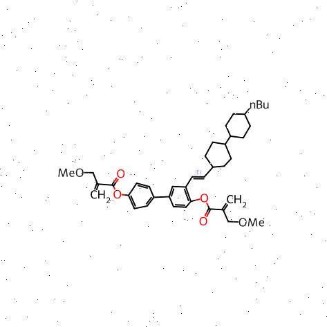 C=C(COC)C(=O)Oc1ccc(-c2ccc(OC(=O)C(=C)COC)c(/C=C/C3CCC(C4CCC(CCCC)CC4)CC3)c2)cc1